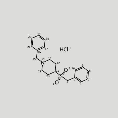 Cl.O=S(=O)(Cc1ccccc1)C1CCN(Cc2ccccc2)CC1